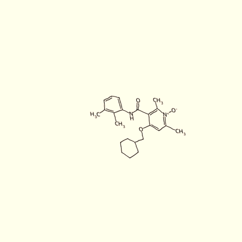 Cc1cccc(NC(=O)c2c(OCC3CCCCC3)cc(C)[n+]([O-])c2C)c1C